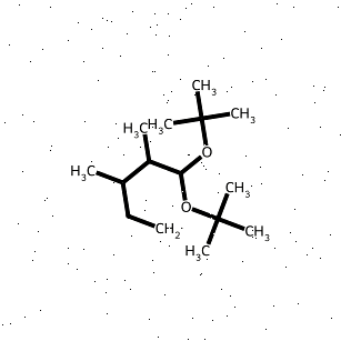 [CH2]CC(C)C(C)C(OC(C)(C)C)OC(C)(C)C